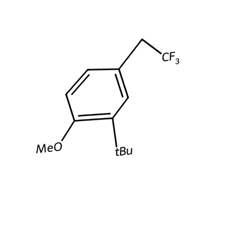 COc1ccc(CC(F)(F)F)cc1C(C)(C)C